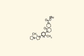 Cc1nc(N2CC[C@@H](N3CCC[C@@H]3C)C2)ccc1N1CCCC2(CCN(C(=O)OC(C)(C)C)CC2)C1=O